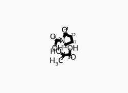 CC(O)C(=O)O.O=C(O)N1CCCC1=O